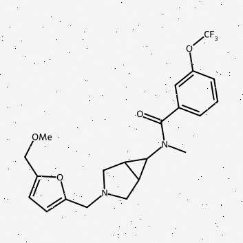 COCc1ccc(CN2CC3C(C2)C3N(C)C(=O)c2cccc(OC(F)(F)F)c2)o1